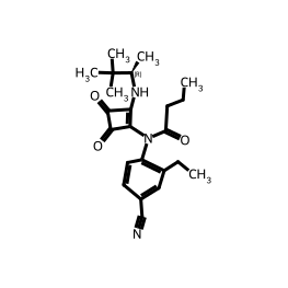 CCCC(=O)N(c1ccc(C#N)cc1CC)c1c(N[C@H](C)C(C)(C)C)c(=O)c1=O